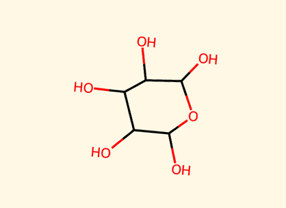 OC1OC(O)C(O)C(O)C1O